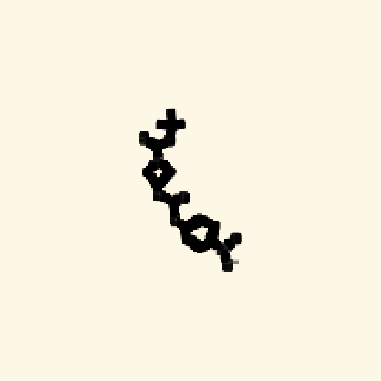 CC(C)(C)OC(=O)N1CC(OC(=O)Oc2ccc([N+](=O)[O-])cc2)C1